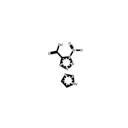 O=C(O)c1nnnn1[N+](=O)[O-].c1c[nH]nn1